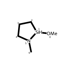 CO[SiH]1CCCN1C